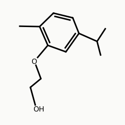 Cc1ccc(C(C)C)cc1OCCO